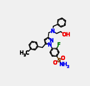 Cc1cccc(Cc2cc(CN(CCO)Cc3ccccc3)nn2-c2ccc(S(N)(=O)=O)cc2F)c1